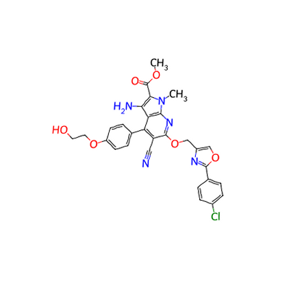 COC(=O)c1c(N)c2c(-c3ccc(OCCO)cc3)c(C#N)c(OCc3coc(-c4ccc(Cl)cc4)n3)nc2n1C